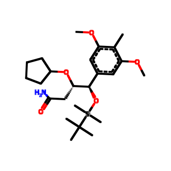 COc1cc([C@@H](O[Si](C)(C)C(C)(C)C)[C@H](CC(N)=O)OC2CCCC2)cc(OC)c1C